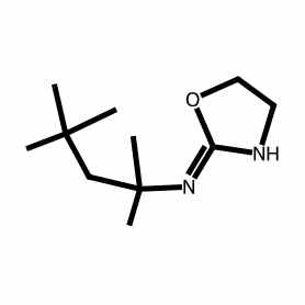 CC(C)(C)CC(C)(C)N=C1NCCO1